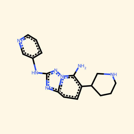 Nc1c(C2CCCNC2)ccc2nc(Nc3cccnc3)nn12